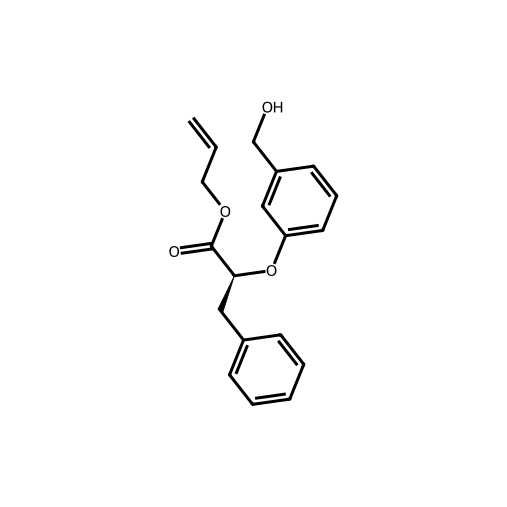 C=CCOC(=O)[C@H](Cc1ccccc1)Oc1cccc(CO)c1